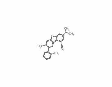 Cc1cc2oc3cc(C(C)C)cc(C#N)c3c2cc1-c1cccc[n+]1C